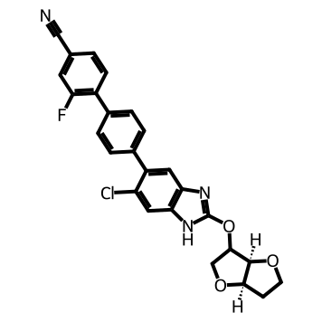 N#Cc1ccc(-c2ccc(-c3cc4nc(OC5CO[C@@H]6CCO[C@H]56)[nH]c4cc3Cl)cc2)c(F)c1